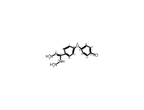 N/N=C(\NN)c1ccc(Oc2ccc(Cl)cc2)cc1